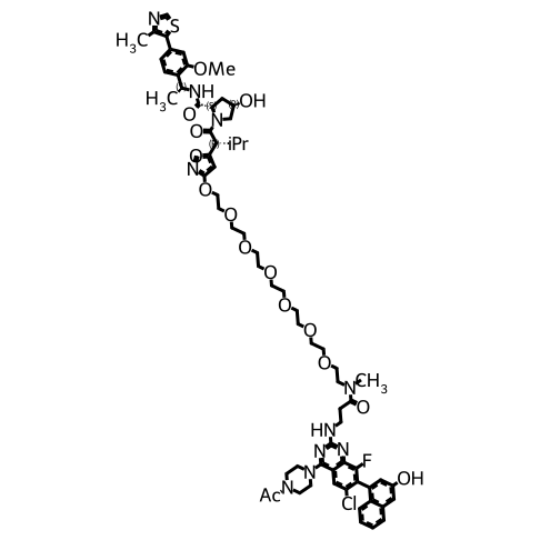 COc1cc(-c2scnc2C)ccc1[C@H](C)NC(=O)[C@@H]1C[C@@H](O)CN1C(=O)[C@@H](c1cc(OCCOCCOCCOCCOCCOCCOCCN(C)C(=O)CCNc2nc(N3CCN(C(C)=O)CC3)c3cc(Cl)c(-c4cc(O)cc5ccccc45)c(F)c3n2)no1)C(C)C